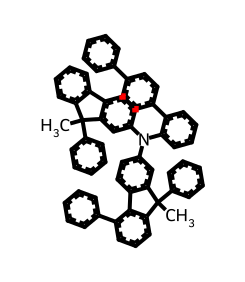 CC1(c2ccccc2)c2ccccc2-c2ccc(N(c3ccc4c(c3)C(C)(c3ccccc3)c3cccc(-c5ccccc5)c3-4)c3ccccc3-c3ccc(-c4ccccc4)cc3)cc21